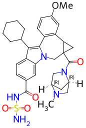 COc1ccc2c(c1)C1CC1(C(=O)N1C[C@H]3C[C@@H]1CN3C)Cn1c-2c(C2CCCCC2)c2ccc(C(=O)NS(N)(=O)=O)cc21